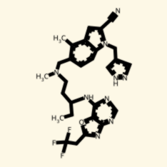 CCC(CCN(C)Cc1ccc2c(cc(C#N)n2Cc2cn[nH]c2)c1C)Nc1ncnc2nc(CC(F)(F)F)oc12